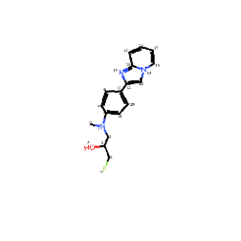 CN(CC(O)CF)c1ccc(-c2cn3ccccc3n2)cc1